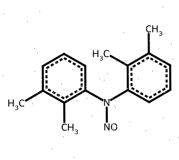 Cc1cccc(N(N=O)c2cccc(C)c2C)c1C